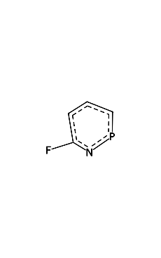 Fc1cccpn1